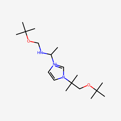 CC(NCOC(C)(C)C)[n+]1ccn(C(C)(C)COC(C)(C)C)c1